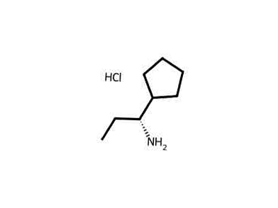 CC[C@@H](N)C1CCCC1.Cl